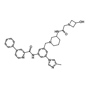 Cc1cn(-c2cc(CN3CCCC(NC(=O)CN4CC(O)C4)C3)cc(NC(=O)c3cc(-c4ccccc4)ccn3)c2)cn1